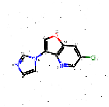 Clc1cnc2c(-n3ccnc3)coc2c1